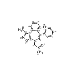 CC(=O)C[C@@H]1N=C(c2ccncc2)c2c(C)cccc2-c2c(C)noc21